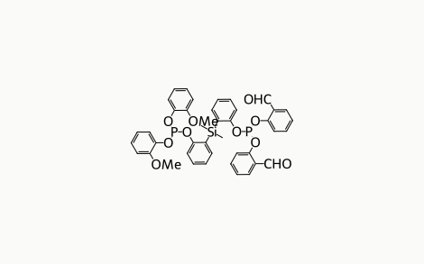 COc1ccccc1OP(Oc1ccccc1OC)Oc1ccccc1[Si](C)(C)c1ccccc1OP(Oc1ccccc1C=O)Oc1ccccc1C=O